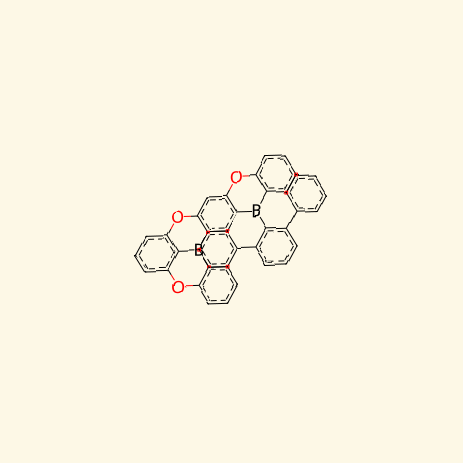 c1ccc(-c2cccc(-c3ccccc3)c2B2c3ccccc3Oc3cc4c(cc32)B2c3ccccc3Oc3cccc(c32)O4)cc1